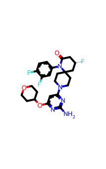 Nc1nc(OC2CCOCC2)cc(N2CCC3(CC2)C[C@@H](F)CC(=O)N3c2ccc(F)c(F)c2)n1